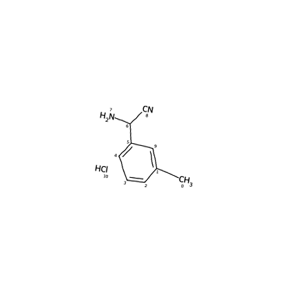 Cc1cccc(C(N)C#N)c1.Cl